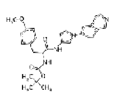 COc1ccc(C[C@H](NC(=O)OC(C)(C)C)C(=O)Nc2ccn(-c3ccc4cnccc4c3)c2)cc1